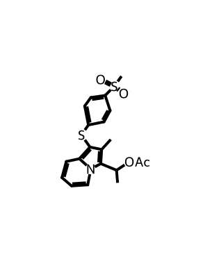 CC(=O)OC(C)c1c(C)c(Sc2ccc(S(C)(=O)=O)cc2)c2ccccn12